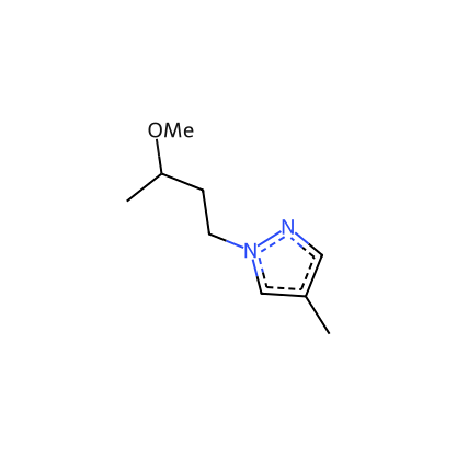 COC(C)CCn1cc(C)cn1